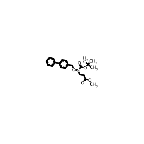 COC(=O)CCN(OCc1ccc(-c2ccccc2)cc1)C(=O)OC(C)(C)C